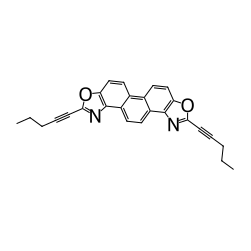 CCCC#Cc1nc2c(ccc3c4ccc5oc(C#CCCC)nc5c4ccc32)o1